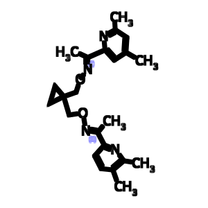 C/C(=N\OCC1(CO/N=C(\C)c2ccc(C)c(C)n2)CC1)c1cc(C)cc(C)n1